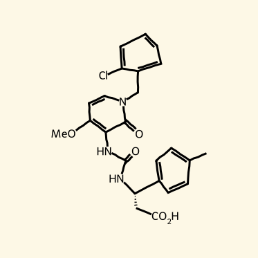 COc1ccn(Cc2ccccc2Cl)c(=O)c1NC(=O)N[C@@H](CC(=O)O)c1ccc(C)cc1